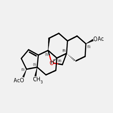 CC(=O)O[C@H]1CC[C@@]23CO[C@]4(CCC2C1)C1=CC[C@H](OC(C)=O)[C@@]1(C)CC[C@H]34